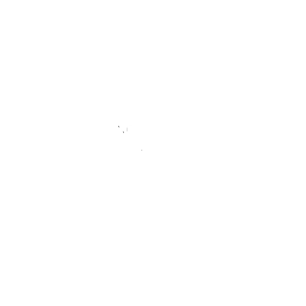 N#CC1(c2ccccc2)CCCCCCC1